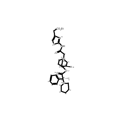 CCOC(=O)Cc1csc(NC(=O)C[N+]23CCC(CC2)[C@@H](OC(=O)[C@](C)(c2ccccc2)N2CCCCC2)C3)n1